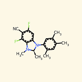 Cc1cc(C)c(N2c3cc(F)c(C#N)c(F)c3N(C)[C@@H]2C)cc1C